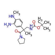 CNc1ccc(C(C)(CNC(=O)OC(C)(C)C)C(=O)N2CCCC2)cc1N